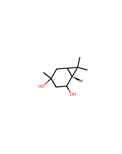 CC1(O)CC(O)[C@@H]2C(C1)C2(C)C